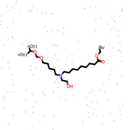 CCCCCCCCC(CCCCCCCC)OCOCCCCCN(CCO)CCCCCCCCC(=O)OCC(C)CC